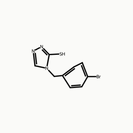 Sc1nncn1Cc1ccc(Br)cc1